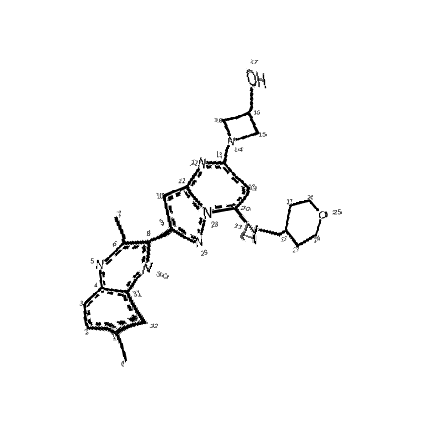 Cc1ccc2nc(C)c(-c3cc4nc(N5CC(O)C5)cc(NC5CCOCC5)n4n3)nc2c1